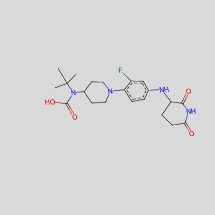 CC(C)(C)N(C(=O)O)C1CCN(c2ccc(NC3CCC(=O)NC3=O)cc2F)CC1